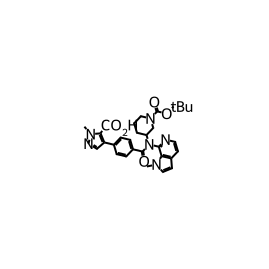 Cn1ncc(-c2ccc(C(=O)N(c3nccc4ccn(C)c34)C3CCCN(C(=O)OC(C)(C)C)C3)cc2)c1C(=O)O